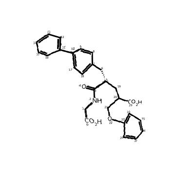 O=C(O)CNC(=O)[C@H](Cc1ccc(-c2ccccc2)cc1)CC(COc1ccccc1)C(=O)O